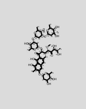 CO[C@H](C(=O)[C@@H](O)[C@@H](C)O)[C@@H]1Cc2cc3cc(O[C@H]4CC(O)[C@H](O)C(C)O4)c(C)c(O)c3c(O)c2C(=O)[C@H]1O[C@H]1C[C@@H](O[C@H]2C[C@@H](O[C@H]3C[C@](C)(O)[C@H](O)C(C)O3)[C@@H](O)C(C)O2)[C@H](O)C(C)O1